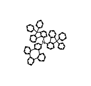 c1ccc(C2(c3ccccc3)c3ccccc3-c3c(N(c4ccc5c(c4)-c4ccccc4-c4ccccc4-c4ccccc4-5)c4cccc5c4-c4ccccc4C5(c4ccccc4)c4ccccc4)cccc32)cc1